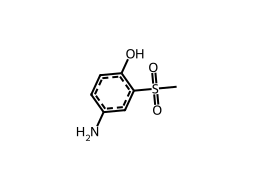 CS(=O)(=O)c1cc(N)ccc1O